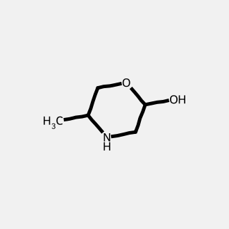 CC1COC(O)CN1